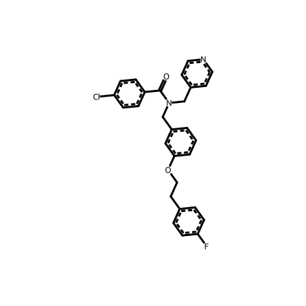 O=C(c1ccc(Cl)cc1)N(Cc1ccncc1)Cc1cccc(OCCc2ccc(F)cc2)c1